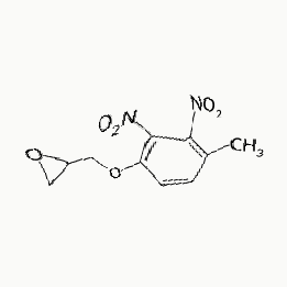 Cc1ccc(OCC2CO2)c([N+](=O)[O-])c1[N+](=O)[O-]